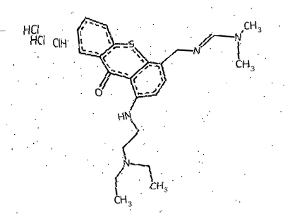 CCN(CC)CCNc1ccc(CN=CN(C)C)c2sc3ccccc3c(=O)c12.Cl.Cl.Cl